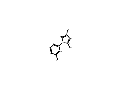 Cc1cccc(-n2nc(C)cc2C)c1